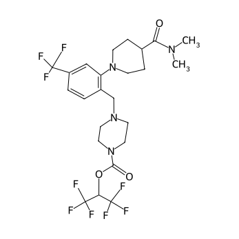 CN(C)C(=O)C1CCN(c2cc(C(F)(F)F)ccc2CN2CCN(C(=O)OC(C(F)(F)F)C(F)(F)F)CC2)CC1